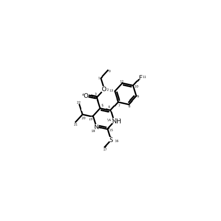 CCOC(=O)C1=C(c2ccc(F)cc2)NC(SC)=NC1C(C)C